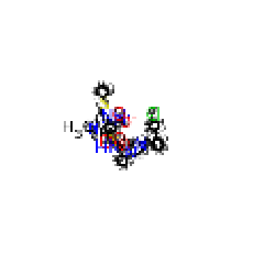 CN(C)CC[C@H](CSc1ccccc1)Nc1ccc(S(=O)(=O)NC(=O)c2ccccc2N2CCN(Cc3ccccc3-c3ccc(Cl)cc3)CC2)cc1[N+](=O)[O-]